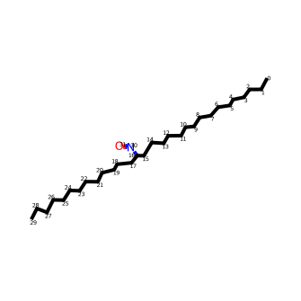 CCCCCCCCCCCCCCCCC(CCCCCCCCCCCCC)N=O